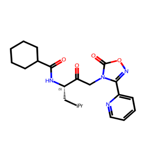 CC(C)C[C@H](NC(=O)C1CCCCC1)C(=O)Cn1c(-c2ccccn2)noc1=O